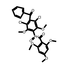 COc1cc(OC)c(C(=O)[PH](=O)c2c(OC)c(Cl)c(C(=O)c3ccccc3)c(Cl)c2OC)c(OC)c1